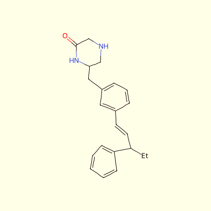 CCC(/C=C/c1cccc(CC2CNCC(=O)N2)c1)c1ccccc1